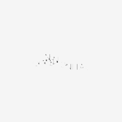 CC(=O)Nc1ccc(-c2csc([C@H]3CCCCN3C(=O)COc3ccccc3)n2)cc1